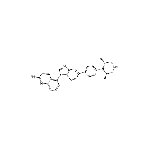 [2H]c1ccc2c(-c3cnn4cc(-c5ccc(N6[C@H](C)CNC[C@@H]6C)cc5)cnc34)cccc2n1